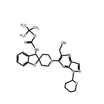 CC(C)(C)OC(=O)N[C@@H]1c2ccccc2OC12CCN(c1nc3c(cnn3C3CCCCO3)nc1CO)CC2